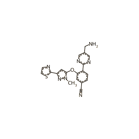 Cn1nc(-c2nccs2)cc1Oc1cc(C#N)ccc1-c1ncc(CN)cn1